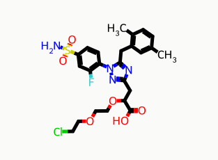 Cc1ccc(C)c(Cc2nc(CC(OCCOCCCl)C(=O)O)nn2-c2ccc(S(N)(=O)=O)cc2F)c1